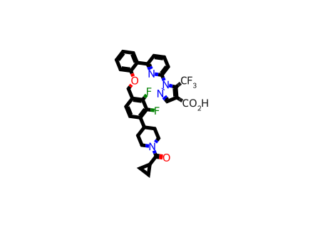 O=C(O)c1cnn(-c2cccc(-c3ccccc3OCc3ccc(C4CCN(C(=O)C5CC5)CC4)c(F)c3F)n2)c1C(F)(F)F